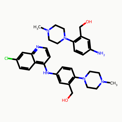 CN1CCN(c2ccc(N)cc2CO)CC1.CN1CCN(c2ccc(Nc3ccnc4cc(Cl)ccc34)cc2CO)CC1